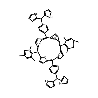 Cc1cc(C)c(-c2c3nc(c(-c4ccc(C(c5ccc[nH]5)c5ccc[nH]5)cc4)c4ccc([nH]4)c(-c4c(C)cc(C)cc4C)c4nc(c(-c5ccc(C(c6ccc[nH]6)c6ccc[nH]6)cc5)c5ccc2[nH]5)C=C4)C=C3)c(C)c1